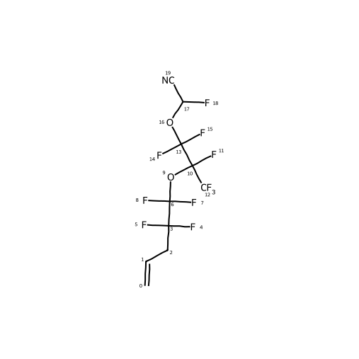 C=CCC(F)(F)C(F)(F)OC(F)(C(F)(F)F)C(F)(F)OC(F)C#N